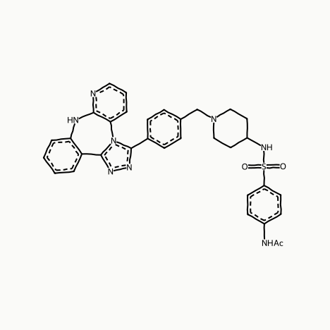 CC(=O)Nc1ccc(S(=O)(=O)NC2CCN(Cc3ccc(-c4nnc5n4-c4cccnc4Nc4ccccc4-5)cc3)CC2)cc1